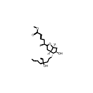 C=CC(O)(CCCC)CCC[C@@H]1[C@H]2CC(C(I)CC=CC(=O)OC)O[C@H]2C[C@H]1O